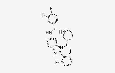 Fc1ccc(CNc2ncc3nc(-c4c(F)cccc4I)n(C[C@@H]4CCCNC4)c3n2)cc1F